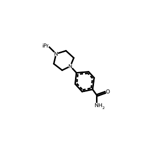 CC(C)N1CCN(c2ccc(C(N)=O)cc2)CC1